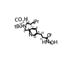 CC(C)C[C@@H](C(=O)O)N(Cc1ccc(CCC(=O)NO)cn1)C(C)(C)C